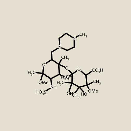 COC1(C)OC(CN2CCN(C)CC2)C(C)(OC2(C)OC(C(=O)O)C(C)(OC)C(C)(O)C2(C)O)C(S(=O)(=O)O)C1NS(=O)(=O)O